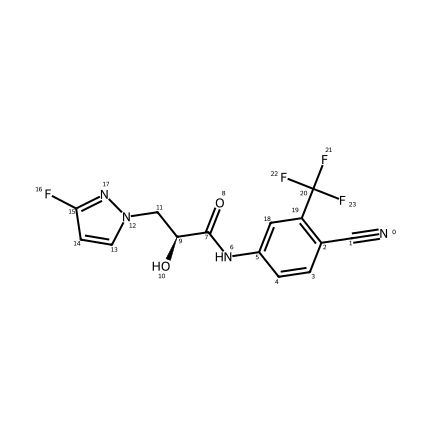 N#Cc1ccc(NC(=O)[C@@H](O)Cn2ccc(F)n2)cc1C(F)(F)F